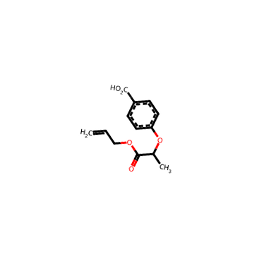 C=CCOC(=O)C(C)Oc1ccc(C(=O)O)cc1